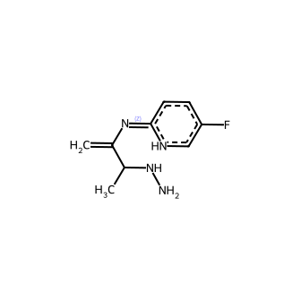 C=C(/N=c1/ccc(F)c[nH]1)C(C)NN